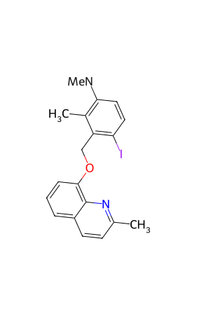 CNc1ccc(I)c(COc2cccc3ccc(C)nc23)c1C